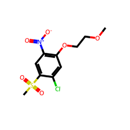 COCCOc1cc(Cl)c(S(C)(=O)=O)cc1[N+](=O)[O-]